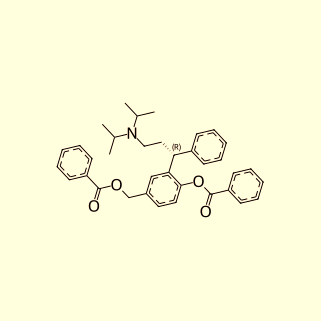 CC(C)N(CC[C@H](c1ccccc1)c1cc(COC(=O)c2ccccc2)ccc1OC(=O)c1ccccc1)C(C)C